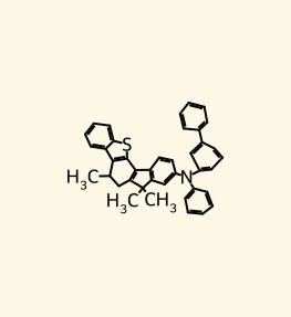 CC1CC2=C(c3ccc(N(c4ccccc4)c4cccc(-c5ccccc5)c4)cc3C2(C)C)c2sc3ccccc3c21